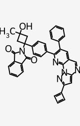 CC1(O)CC(c2ccc(-c3nc4c(cnc5cc(C6=CC=C6)nn54)cc3-c3ccccc3)cc2)(N2C(=O)c3ccccc3C2=O)C1